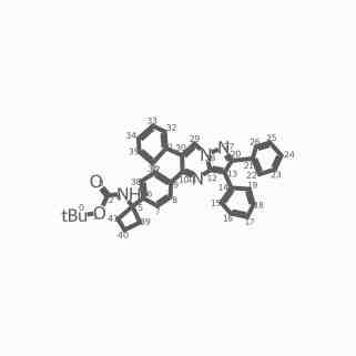 CC(C)(C)OC(=O)NC1(c2ccc(-c3nc4c(-c5ccccc5)c(-c5ccccc5)nn4cc3-c3ccccc3)cc2)CCC1